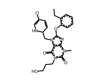 CCc1ccccc1Oc1nc2c(c(=O)n(CCCO)c(=O)n2C)n1CC1C=CC(Cl)=CN1